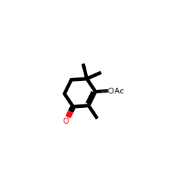 CC(=O)OC1=C(C)C(=O)CCC1(C)C